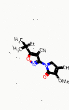 CCC(C)(C)c1onc(N2CC(C)=C(OC)C2=O)c1C#N